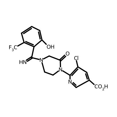 N=C(c1c(O)cccc1C(F)(F)F)N1CCN(c2ncc(C(=O)O)cc2Cl)C(=O)C1